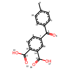 Cc1ccc(C(=O)c2ccc(C(=O)O)c(C(=O)O)c2)cc1